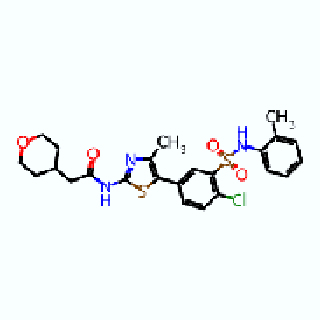 Cc1ccccc1NS(=O)(=O)c1cc(-c2sc(NC(=O)CC3CCOCC3)nc2C)ccc1Cl